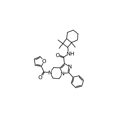 CC1(C)C2CCCCC2(C)C1NC(=O)c1nc(-c2ccccc2)n2c1CN(C(=O)c1ccco1)CC2